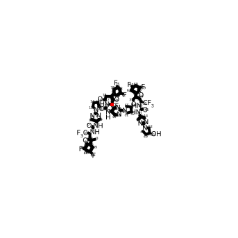 Cc1c(C(NC(=O)Nc2cnc(N3CC[C@H](OCCc4c([C@@H](NC(=O)Nc5cnc(N6CC[C@H](OCc7c([C@H](NC(=O)Nc8cnc(N9CC[C@H](O)C9)nc8)C(F)(F)F)oc8c(F)cc(F)cc78)C6)nc5)C(F)(F)F)oc5c(F)cc(F)cc45)C3)nc2)C(F)(F)F)oc2c(F)cc(F)cc12